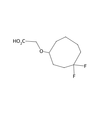 O=C(O)COC1CCCCC(F)(F)CC1